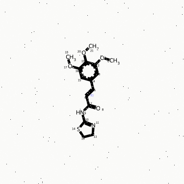 COc1cc(/C=C/C(=O)NC2=NCCS2)cc(OC)c1OC